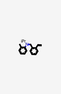 C=Cc1ccccc1CN(c1ccccc1C)C(C)C